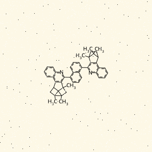 CC12CCC(c3c1c(-c1cccc4c(-c5nc6ccccc6c6c5C5(C)CC7(C)C8(C)CC6C587)cccc14)nc1ccccc31)C2(C)C